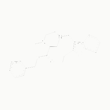 CCc1oc2ccccc2c1CN1CCN(C)C(C(=O)OCc2ccccc2)C1